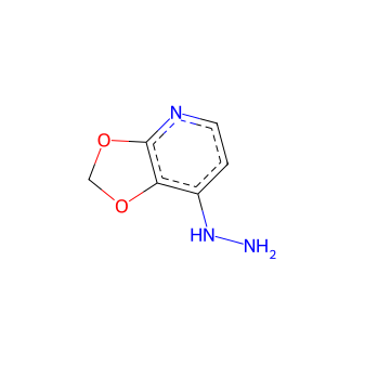 NNc1ccnc2c1OCO2